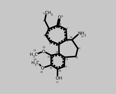 CCc1ccc2c(cc1=O)C(N)CCc1cc(O)c(OC)c(OC)c1-2